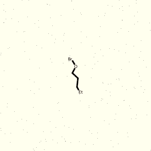 CCCCCOBr